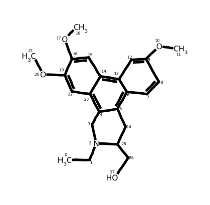 CCN1Cc2c(c3ccc(OC)cc3c3cc(OC)c(OC)cc23)CC1CO